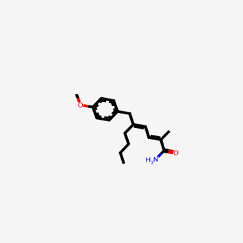 CCCC/C(=C\C=C(/C)C(N)=O)Cc1ccc(OC)cc1